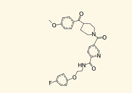 COc1ccc(C(=O)C2CCN(C(=O)c3ccc(C(=O)NCCOc4ccc(F)cc4)nc3)CC2)cc1